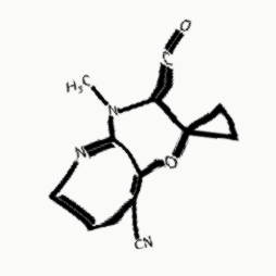 CN1C(=C=O)C2(CC2)Oc2c(C#N)ccnc21